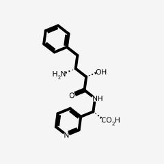 N[C@H](Cc1ccccc1)[C@H](O)C(=O)N[C@H](C(=O)O)c1cccnc1